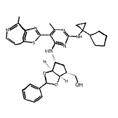 Cc1nc(NC2(C3CCCC3)CC2)nc(N[C@@H]2C[C@H](CO)[C@H]3OC(c4ccccc4)O[C@H]32)c1-c1nc2c(C)nccc2s1